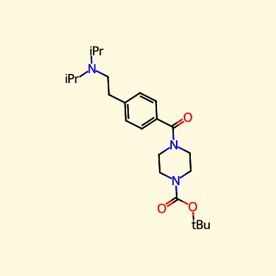 CC(C)N(CCc1ccc(C(=O)N2CCN(C(=O)OC(C)(C)C)CC2)cc1)C(C)C